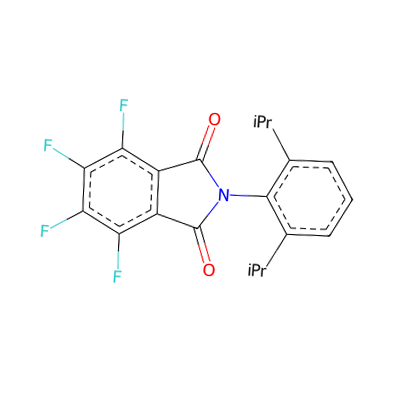 CC(C)c1cccc(C(C)C)c1N1C(=O)c2c(F)c(F)c(F)c(F)c2C1=O